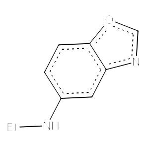 CCNc1ccc2ocnc2c1